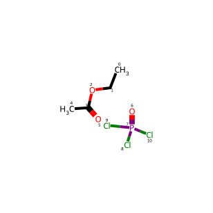 CCOC(C)=O.O=P(Cl)(Cl)Cl